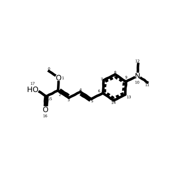 COC(=CC=Cc1ccc(N(C)C)cc1)C(=O)O